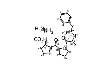 C[C@H](/N=[P+](\[O-])Cc1ccccc1)C(=O)N1CCC[C@H]1C(=O)N1CCC[C@H]1C(=O)O.N.N